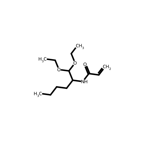 C=CC(=O)NC(CCCC)C(OCC)OCC